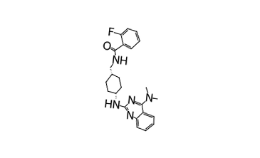 CN(C)c1nc(N[C@H]2CC[C@@H](CNC(=O)c3ccccc3F)CC2)nc2ccccc12